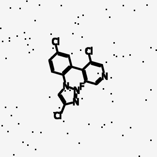 Fc1cncc(Cl)c1-c1cc(Cl)ccc1-n1cc(Cl)nn1